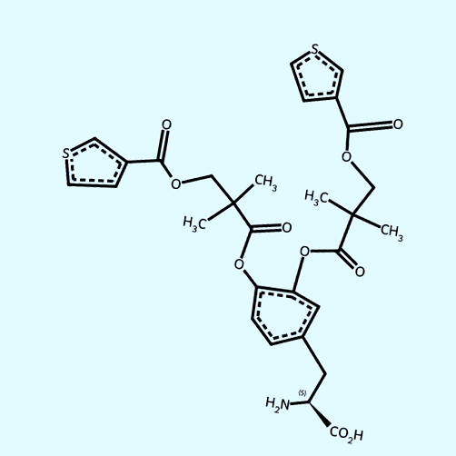 CC(C)(COC(=O)c1ccsc1)C(=O)Oc1ccc(C[C@H](N)C(=O)O)cc1OC(=O)C(C)(C)COC(=O)c1ccsc1